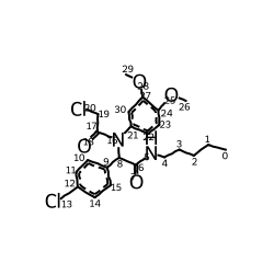 CCCCCNC(=O)C(c1ccc(Cl)cc1)N(C(=O)CCl)c1ccc(OC)c(OC)c1